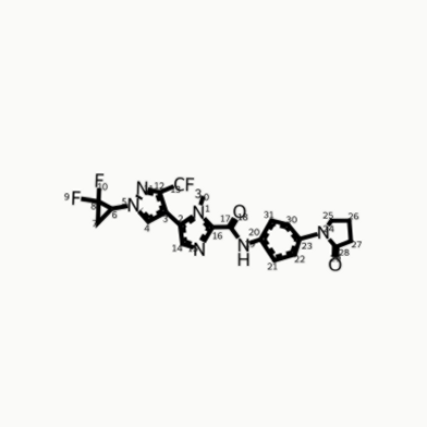 Cn1c(-c2cn(C3CC3(F)F)nc2C(F)(F)F)cnc1C(=O)Nc1ccc(N2CCCC2=O)cc1